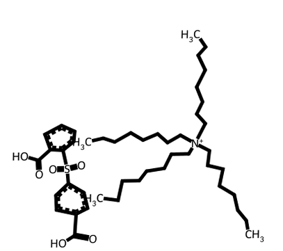 CCCCCCCC[N+](CCCCCCCC)(CCCCCCCC)CCCCCCCC.O=C(O)c1ccc(S(=O)(=O)c2ccccc2C(=O)O)cc1